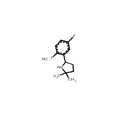 CC1(C)CCC(c2cc(F)ccc2F)N1.Cl